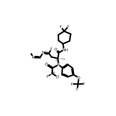 C/N=C\N=C(\F)C[C@@](C)(C(=O)NC1CCC(F)(F)CC1)N(C(=O)[C@H](F)Cl)c1ccc(OC(F)(F)F)cc1